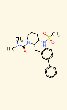 CN(C)C(=O)N1CCC[C@H](NS(C)(=O)=O)[C@@H]1Cc1cccc(-c2ccccc2)c1